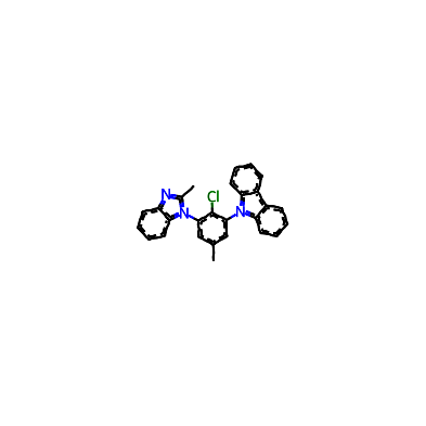 Cc1cc(-n2c(C)nc3ccccc32)c(Cl)c(-n2c3ccccc3c3ccccc32)c1